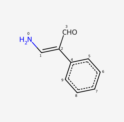 NC=C(C=O)c1ccccc1